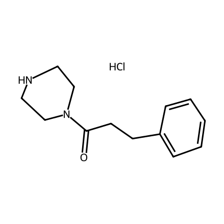 Cl.O=C(CCc1ccccc1)N1CCNCC1